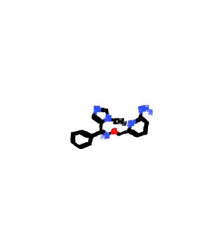 Cn1cncc1/C(=N\OCc1cccc(N)n1)c1ccccc1